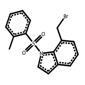 Cc1ccccc1S(=O)(=O)n1ccc2cccc(CBr)c21